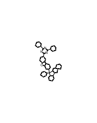 c1ccc(-c2nc(-c3ccccc3)nc(-c3ccc4oc5cc(C6(c7ccccc7)c7ccccc7-c7cc8ccccc8cc76)ccc5c4c3)n2)cc1